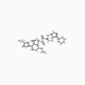 COc1cnc(-n2cnc(C)n2)c2[nH]cc(C(=O)C(=O)N3CCc4c(cnn4-c4ccccc4)C3)c12